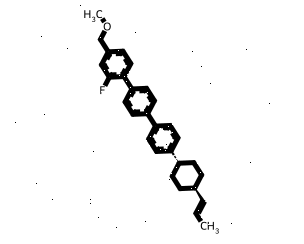 CC=C[C@H]1CC[C@H](c2ccc(-c3ccc(-c4ccc(COC)cc4F)cc3)cc2)CC1